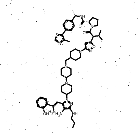 CCCNc1nn(C2CCN(C3CCN(CC4CCN(c5cc(C(C(=O)N6CCC[C@H]6C(=O)N[C@@H](C)c6ccc(-c7scnc7C)cc6)C(C)C)on5)CC4)CC3)CC2)c(/C=C(\N)c2ccccc2O)c1N